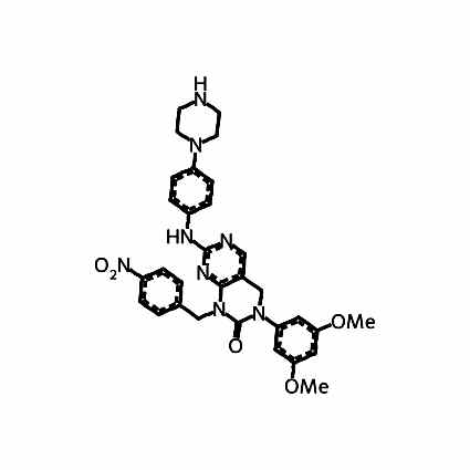 COc1cc(OC)cc(N2Cc3cnc(Nc4ccc(N5CCNCC5)cc4)nc3N(Cc3ccc([N+](=O)[O-])cc3)C2=O)c1